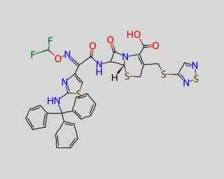 O=C(O)C1=C(CSc2cnsn2)CS[C@@H]2C(NC(=O)/C(=N/OC(F)F)c3csc(NC(c4ccccc4)(c4ccccc4)c4ccccc4)n3)C(=O)N12